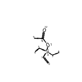 C=C[Si](CC)(CC)OC(C)=O